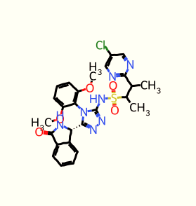 COc1cccc(OC)c1-n1c(NS(=O)(=O)C(C)C(C)c2ncc(Cl)cn2)nnc1[C@H]1NC(=O)c2ccccc21